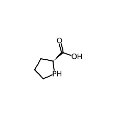 O=C(O)[C@@H]1CCCP1